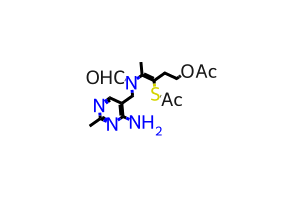 CC(=O)OCCC(SC(C)=O)=C(C)N(C=O)Cc1cnc(C)nc1N